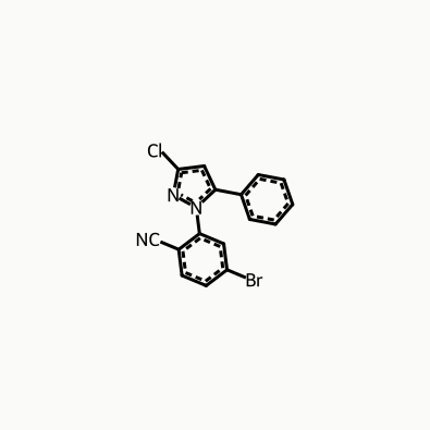 N#Cc1ccc(Br)cc1-n1nc(Cl)cc1-c1ccccc1